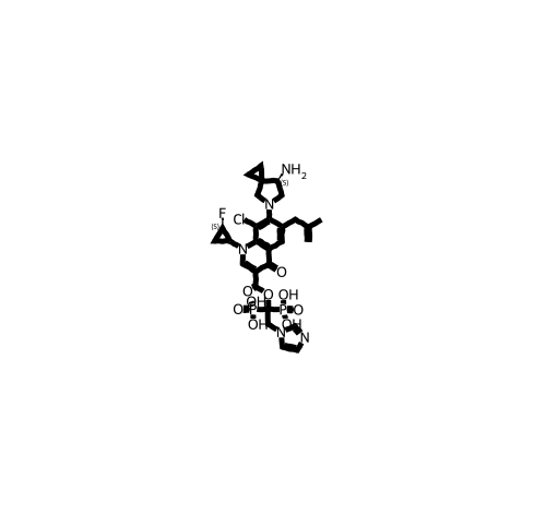 C=C(C)Cc1cc2c(=O)c(C(=O)OC(Cn3ccnc3)(P(=O)(O)O)P(=O)(O)O)cn(C3C[C@@H]3F)c2c(Cl)c1N1C[C@@H](N)C2(CC2)C1